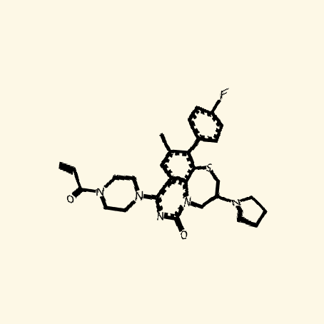 C=CC(=O)N1CCN(c2nc(=O)n3c4c(c(-c5ccc(F)cc5)c(C)cc24)SCC(N2CCCC2)C3)CC1